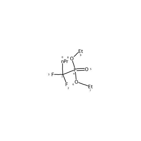 CCCC(F)(F)P(=O)(OCC)OCC